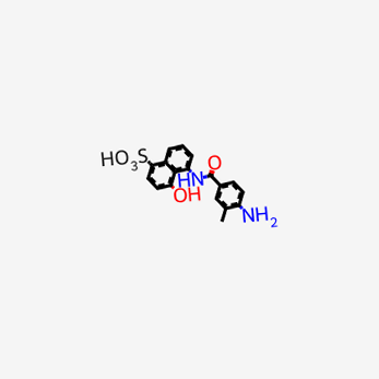 Cc1cc(C(=O)Nc2cccc3c(S(=O)(=O)O)ccc(O)c23)ccc1N